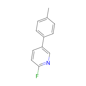 Cc1ccc(-c2ccc(F)nc2)cc1